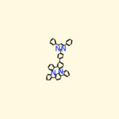 c1ccc(-c2cc(-c3ccccc3)nc(-c3ccc(-c4ccc5c(c4)c4ccccc4n4c6ccccc6c6ccc7c8ccccc8n5c7c64)cc3)n2)cc1